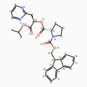 CC(C)OC(=O)[C@@H](Cc1ncccn1)OC(=O)[C@@H]1CCCN1C(=O)OCC1c2ccccc2-c2ccccc21